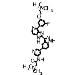 CN(C)CCOc1cc(F)cc(-c2nccc3[nH]c(-c4n[nH]c5ccc(-c6cncc(NC(=O)CN(C)C)c6)cc45)nc23)c1